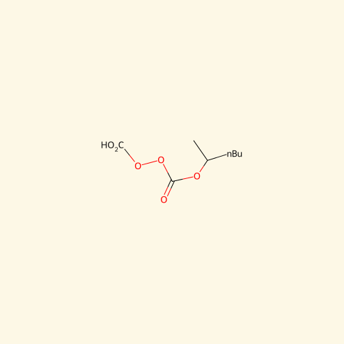 CCCCC(C)OC(=O)OOC(=O)O